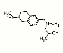 CNC1CCc2cc(CN(C)CC(C)O)ccc2C1